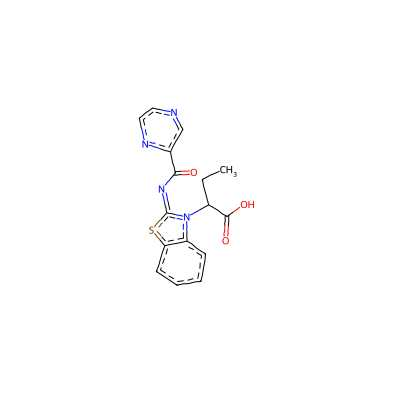 CCC(C(=O)O)n1/c(=N\C(=O)c2cnccn2)sc2ccccc21